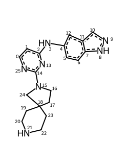 c1cc(Nc2ccc3[nH]ncc3c2)nc(N2CCC3(CCNCC3)C2)n1